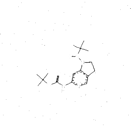 CC(C)(C)OC(=O)Nc1cc2c(cn1)CCN2[S+]([O-])C(C)(C)C